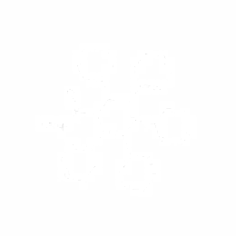 O=PC(=O)c1c(-c2ccccc2)c(-c2ccccc2)c(-c2ccccc2)c(-c2ccccc2)c1-c1ccccc1